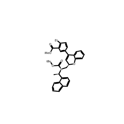 CCc1ccc(C2=C[C@H](CN(C(=O)OC(C)(C)C)[C@H](C)c3cccc4ccccc34)Oc3ccccc32)cc1C(=O)OC